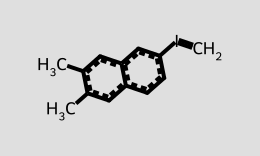 C=Ic1ccc2cc(C)c(C)cc2c1